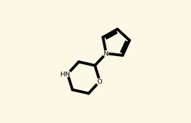 c1ccn(C2CNCCO2)c1